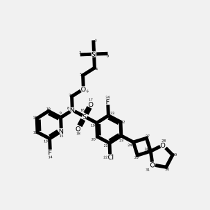 C[Si](C)(C)CCOCN(c1cccc(F)n1)S(=O)(=O)c1cc(Cl)c(C2CC3(C2)OCCO3)cc1F